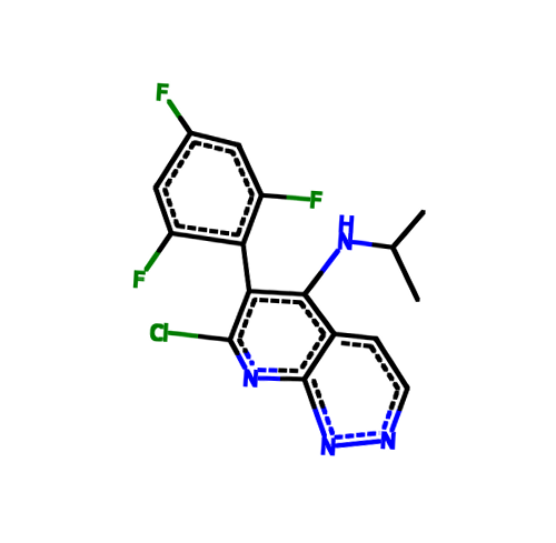 CC(C)Nc1c(-c2c(F)cc(F)cc2F)c(Cl)nc2nnccc12